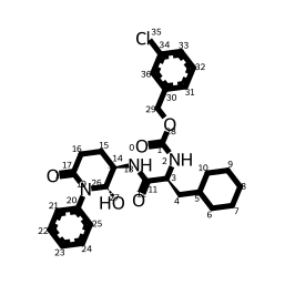 O=C(N[C@@H](CC1CCCCC1)C(=O)N[C@@H]1CCC(=O)N(c2ccccc2)[C@H]1O)OCc1cccc(Cl)c1